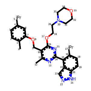 Cc1ccc(C(C)C)cc1OCc1c(C)nc(-c2c(C(C)C)ccc3[nH]ncc23)nc1OCCN1CCOCC1